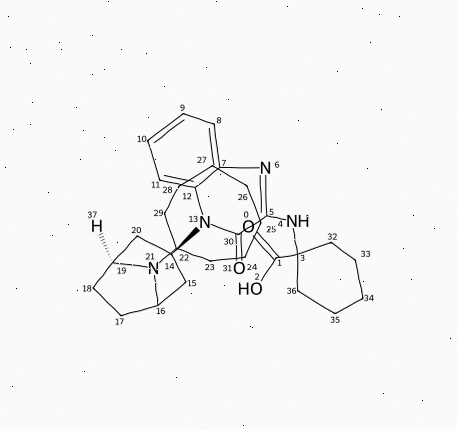 O=C(O)C1(Nc2nc3ccccc3n([C@H]3CC4CC[C@@H](C3)N4C3CCCCCCC3)c2=O)CCCCC1